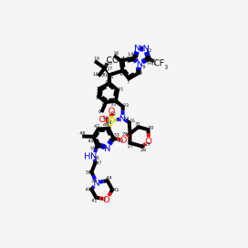 Cc1ccc([C@H](c2ccn3c(C(F)(F)F)nnc3c2C)C(C)(C)C(=O)O)cc1CN1CC2(CCOCC2)Oc2nc(NCCN3CCOCC3)c(C)cc2S1(=O)=O